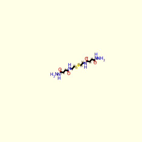 NNC(=O)CCC(=O)NCCSSCCNC(=O)CCC(=O)NN